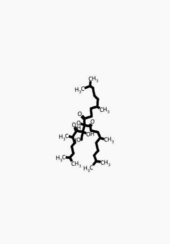 CC(C)CCCC(C)CCC(=O)C(O)(C(=O)CCC(C)CCCC(C)C)C(O)(CO)C(=O)C(C)CCCC(C)C